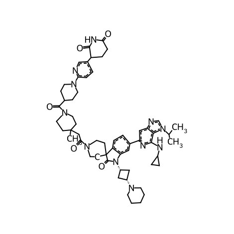 CC(C)n1cnc2cc(-c3ccc4c(c3)N([C@H]3C[C@@H](N5CCCCC5)C3)C(=O)C43CCN(C(=O)CC4(C)CCN(C(=O)C5CCN(c6ccc(C7CCC(=O)NC7=O)cn6)CC5)CC4)CC3)nc(NC3CC3)c21